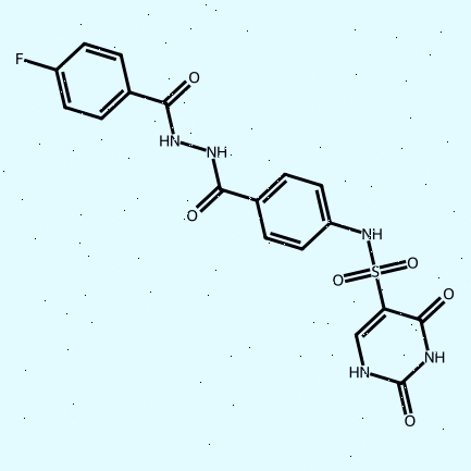 O=C(NNC(=O)c1ccc(NS(=O)(=O)c2c[nH]c(=O)[nH]c2=O)cc1)c1ccc(F)cc1